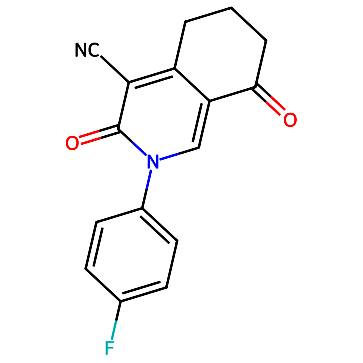 N#Cc1c2c(cn(-c3ccc(F)cc3)c1=O)C(=O)CCC2